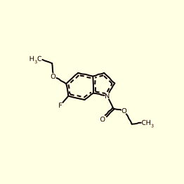 CCOC(=O)n1ccc2cc(OCC)c(F)cc21